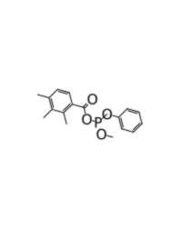 COP(OC(=O)c1ccc(C)c(C)c1C)Oc1ccccc1